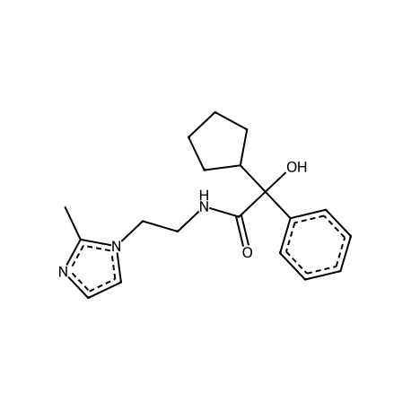 Cc1nccn1CCNC(=O)C(O)(c1ccccc1)C1CCCC1